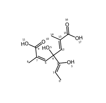 CC=C(O)C(O)(C=C(C)C(=O)O)C=C(C)C(=O)O